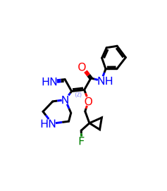 N=C/C(=C(/OCC1(CF)CC1)C(=O)Nc1ccccc1)N1CCNCC1